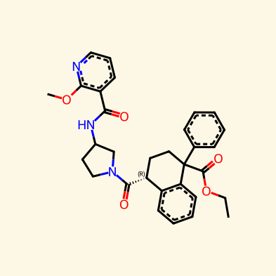 CCOC(=O)C1(c2ccccc2)CC[C@@H](C(=O)N2CCC(NC(=O)c3cccnc3OC)C2)c2ccccc21